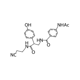 CC(=O)Nc1ccc(C(=O)NCC(C(=O)NCCC#N)c2ccc(O)cc2)cc1